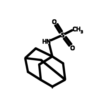 CS(=O)(=O)NC12CC3[CH]C(CC(C3)C1)C2